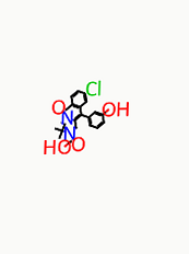 Cn1c(CN(C(=O)O)C(C)(C)C)c(-c2cccc(O)c2)c2cc(Cl)ccc2c1=O